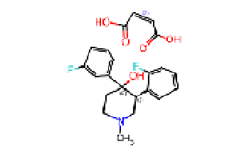 CN1CC[C@](O)(c2cccc(F)c2)[C@@H](c2ccccc2F)C1.O=C(O)/C=C\C(=O)O